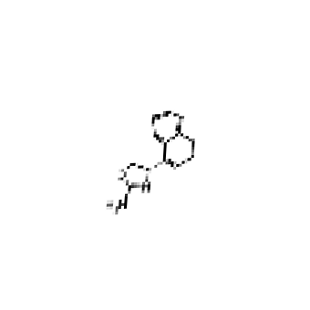 NC1=N[C@@H](c2cccc3ccccc23)CO1